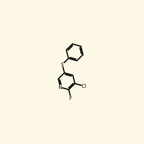 Fc1ncc(Sc2ccccc2)cc1Cl